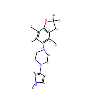 Cc1c(C)c(N2CCN(c3ccn(C)n3)CC2)c(C)c2c1OC(C)(C)C2